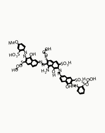 COc1ccc(N=Nc2c(SOOO)cc3ccc(N=Nc4c(SOOO)cc5cc(S(=O)(=O)O)c(N=Nc6ccc7c(O)c(N=Nc8ccccc8SOOO)c(S(=O)(=O)O)cc7c6)c(O)c5c4N)cc3c2O)c(S(=O)(=O)O)c1